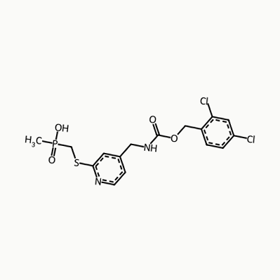 CP(=O)(O)CSc1cc(CNC(=O)OCc2ccc(Cl)cc2Cl)ccn1